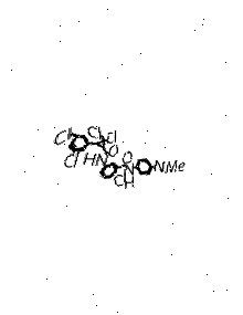 CNc1ccc(NC(=O)c2cc(NC(=O)C3C(c4cc(Cl)cc(Cl)c4)C3(Cl)Cl)ccc2Cl)cc1